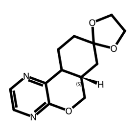 c1cnc2c(n1)OC[C@H]1CC3(CCC21)OCCO3